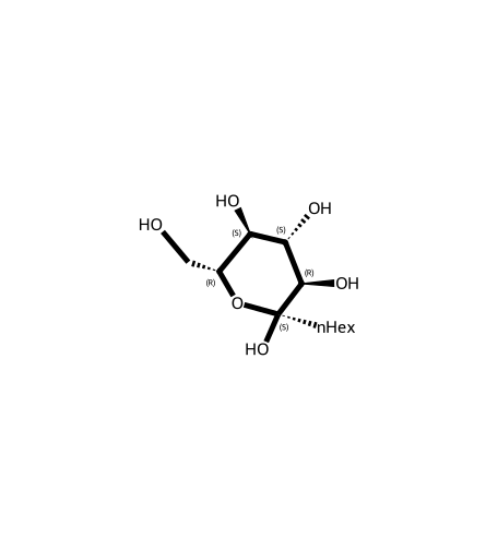 CCCCCC[C@]1(O)O[C@H](CO)[C@@H](O)[C@H](O)[C@H]1O